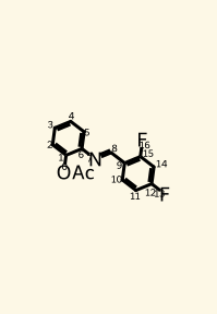 CC(=O)Oc1ccccc1N=Cc1ccc(F)cc1F